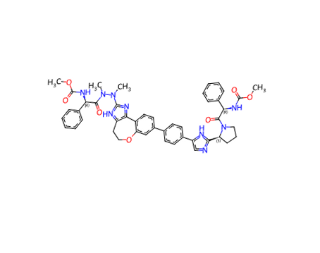 COC(=O)N[C@@H](C(=O)N1CCC[C@H]1c1ncc(-c2ccc(-c3ccc4c(c3)OCCc3[nH]c(N(C)N(C)C(=O)[C@H](NC(=O)OC)c5ccccc5)nc3-4)cc2)[nH]1)c1ccccc1